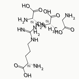 C[C@H](N)C(=O)O.C[C@H](N)C(=O)O.N=C(N)NCCC[C@H](N)C(=O)O.NCC(=O)O